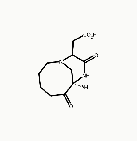 O=C(O)C[C@H]1C(=O)N[C@@H]2CN1CCCCC2=O